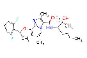 CCCCC(NC(=O)c1c(C)nc2c(OC(C)c3c(F)cccc3F)cc(C)cn12)C(C)(C)O